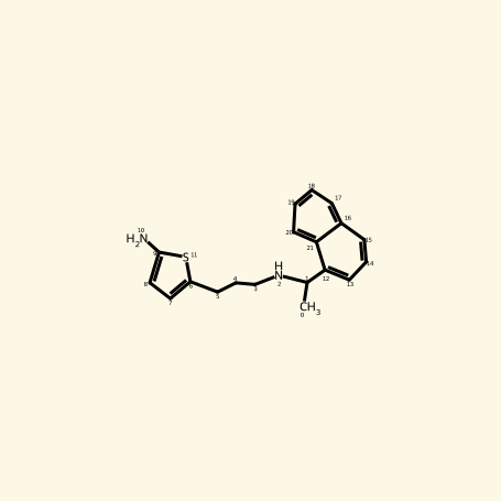 CC(NCCCc1ccc(N)s1)c1cccc2ccccc12